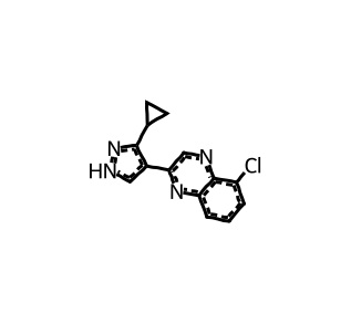 Clc1cccc2nc(-c3c[nH]nc3C3CC3)cnc12